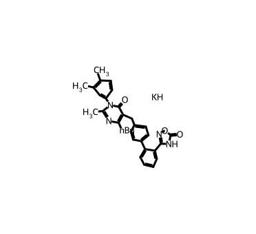 CCCCc1nc(C)n(-c2ccc(C)c(C)c2)c(=O)c1Cc1ccc(-c2ccccc2-c2noc(=O)[nH]2)cc1.[KH]